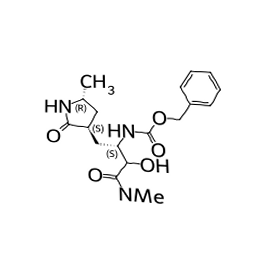 CNC(=O)C(O)[C@H](C[C@@H]1C[C@@H](C)NC1=O)NC(=O)OCc1ccccc1